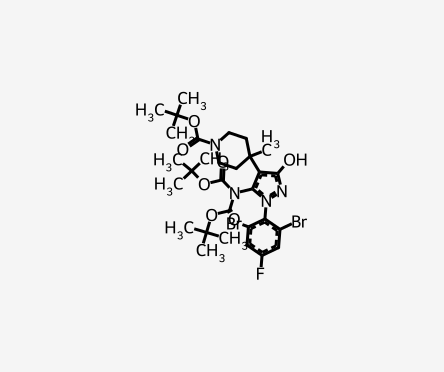 CC(C)(C)OC(=O)N1CCC(C)(c2c(O)nn(-c3c(Br)cc(F)cc3Br)c2N(C(=O)OC(C)(C)C)C(=O)OC(C)(C)C)CC1